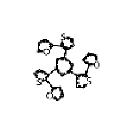 c1coc(-c2sccc2-c2cc(-c3ccsc3-c3ccco3)cc(-c3ccsc3-c3ccco3)c2)c1